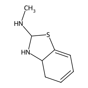 CNC1NC2CC=CC=C2S1